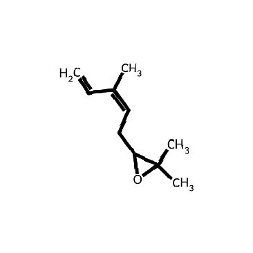 C=CC(C)=CCC1OC1(C)C